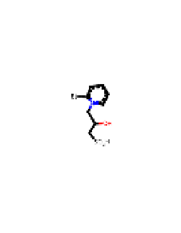 CCc1cccc[n+]1CC(O)CS(=O)(=O)O